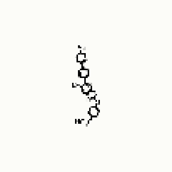 CC(=O)C1CC=C(c2ccc(-c3nc4nc(O[C@H]5CC[C@H](C(=O)O)CC5)[nH]c4cc3Cl)cc2)CC1